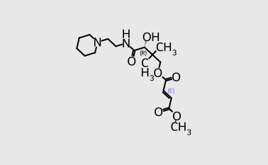 COC(=O)/C=C/C(=O)OCC(C)(C)[C@@H](O)C(=O)NCCN1CCCCC1